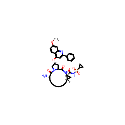 COc1ccc2c(O[C@@H]3CC4C(=O)N[C@]5(C(=O)NS(=O)(=O)C6CC6)C[C@H]5CCCCCC[C@H](N)C(=O)N4C3)cc(-c3ccccc3)nc2c1